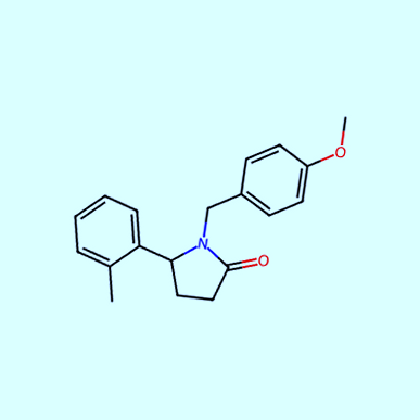 COc1ccc(CN2C(=O)CCC2c2ccccc2C)cc1